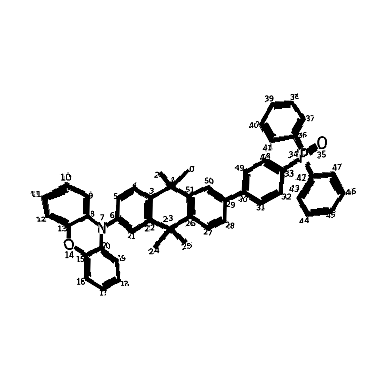 CC1(C)c2ccc(N3c4ccccc4Oc4ccccc43)cc2C(C)(C)c2ccc(-c3ccc(P(=O)(c4ccccc4)c4ccccc4)cc3)cc21